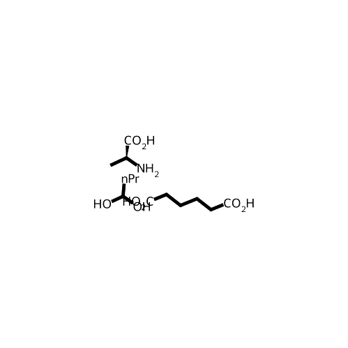 CCCC(O)O.C[C@H](N)C(=O)O.O=C(O)CCCCC(=O)O